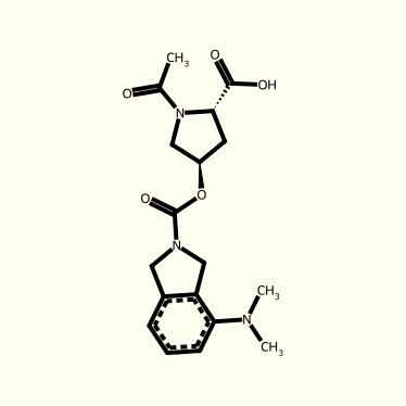 CC(=O)N1C[C@H](OC(=O)N2Cc3cccc(N(C)C)c3C2)C[C@H]1C(=O)O